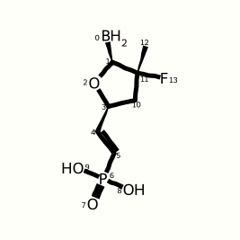 B[C@@H]1O[C@H](/C=C/P(=O)(O)O)C[C@@]1(C)F